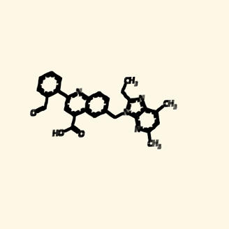 CCc1nc2c(C)cc(C)nc2n1Cc1ccc2nc(-c3ccccc3C=O)cc(C(=O)O)c2c1